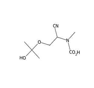 CN(C(=O)O)C(C#N)COC(C)(C)O